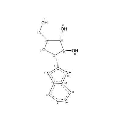 OC[C@H]1O[C@@H](c2nc3ccccc3[nH]2)[C@H](O)[C@H]1O